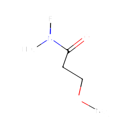 CCN(C)C(=O)CCO[N+](=O)[O-]